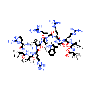 CC(C)[C@H](NC(=O)[C@@H](NC(=O)[C@H](CCCNC(=N)N)NC(=O)[C@H](Cc1c[nH]c2ccccc12)NC(=O)[C@H](CCCNC(=N)N)NC(=O)[C@H](CCCNC(=N)N)NC(=O)[C@@H](NC(=O)[C@@H](NC(=O)[C@H](CCCNC(=N)N)NC(=O)[C@@H](NC(=O)[C@@H](NC(=O)[C@@H](N)CCCNC(=N)N)C(C)C)C(C)C)C(C)C)C(C)C)C(C)C)C(=O)O